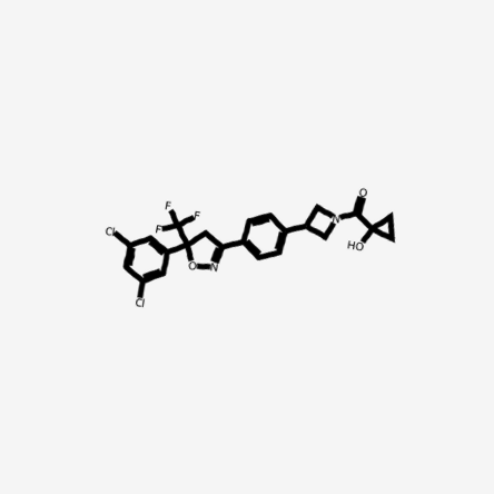 O=C(N1CC(c2ccc(C3=NOC(c4cc(Cl)cc(Cl)c4)(C(F)(F)F)C3)cc2)C1)C1(O)CC1